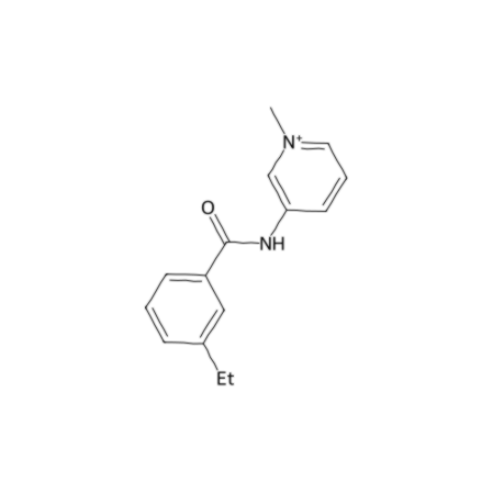 CCc1cccc(C(=O)Nc2ccc[n+](C)c2)c1